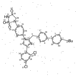 CCC(C)c1ccc(-c2ccc(Cc3nc(-c4ccc(Cl)cc4Cl)cn3-c3ccc(N4CC(=O)NS4(=O)=O)cc3)cc2)cc1